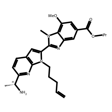 C=CCCCn1c(-c2nc3cc(C(=O)OC(C)C)cc(OC)c3n2C)cc2ccc([C@@H](C)N)nc21